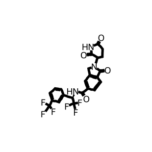 O=C1CCC(N2Cc3cc(C(=O)N[C@H](c4cccc(C(F)(F)F)c4)C(F)(F)F)ccc3C2=O)C(=O)N1